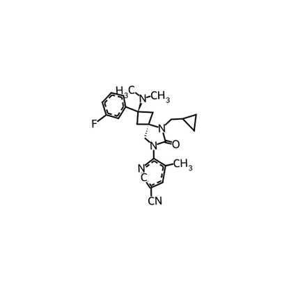 Cc1cc(C#N)cnc1N1C[C@]2(C[C@](c3cccc(F)c3)(N(C)C)C2)N(CC2CC2)C1=O